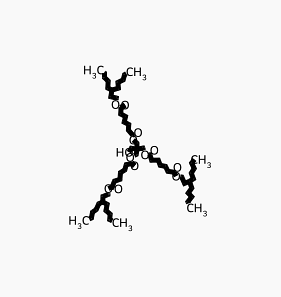 CCCCCC(CCCCC)CCOC(=O)CCCCCC(=O)OCC(CO)(COC(=O)CCCCCC(=O)OCCC(CCCCC)CCCCC)COC(=O)CCCCCC(=O)OCCC(CCCCC)CCCCC